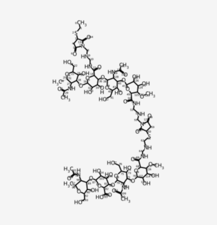 CCSC1CC(=O)N(CNCNC(=O)C2OC(OC3C(O)C(CO)O[C@@H](C)C3NC(C)=O)C(O)C(O)C2OC2OC(CO)C(O)C(OC3OC(C(=O)NCNCN4C(=O)CC(SCNCNC(=O)C5OC(OC6C(O)C(CO)OC(OC7C(C(=O)O)OC(OC8C(O)C(CO)O[C@H](C)C8NC(C)=O)C(O)C7O)C6NC(C)=O)C(O)C(O)C5OC)C4=O)C(OC)C(O)C3O)C2NC(C)=O)C1=O